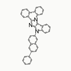 c1ccc(-c2ccc3cc(-n4c5ccccc5c5c4nc4c6ccccc6c6ccccc6n45)ccc3c2)cc1